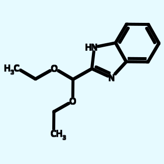 CCOC(OCC)c1nc2ccccc2[nH]1